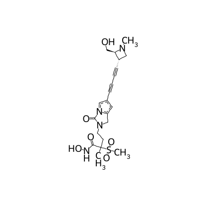 CN1C[C@H](C#CC#Cc2cc3n(c2)C(=O)N(CCC(C)(C(=O)NO)S(C)(=O)=O)C3)[C@H]1CO